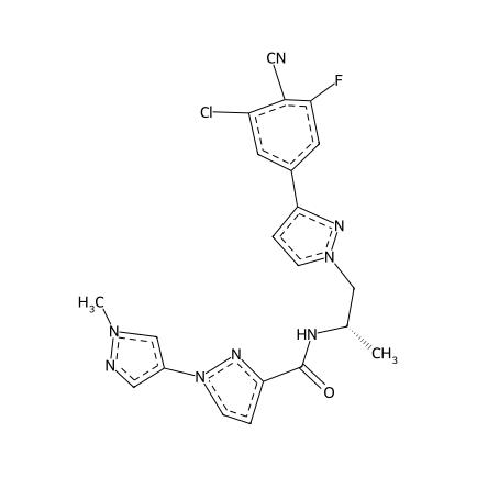 C[C@@H](Cn1ccc(-c2cc(F)c(C#N)c(Cl)c2)n1)NC(=O)c1ccn(-c2cnn(C)c2)n1